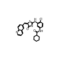 O=C1N=C(Nc2cc(NC(=O)C3CCCCC3)ccc2Cl)SC1=Cc1ccc2ncccc2c1